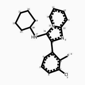 Fc1c(Cl)cccc1-c1nc2ccccn2c1NC1CCCCC1